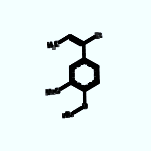 C/C=C(/CC)c1ccc(OCCCC)c(OC)c1